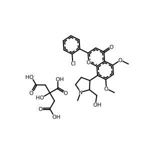 COc1cc(OC)c2c(=O)cc(-c3ccccc3Cl)oc2c1C1CCN(C)C1CO.O=C(O)CC(O)(CC(=O)O)C(=O)O